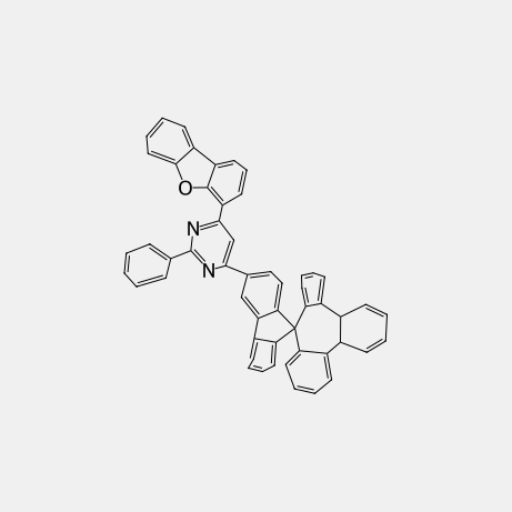 C1=CC2c3ccccc3C3(c4ccccc4-c4cc(-c5cc(-c6cccc7c6oc6ccccc67)nc(-c6ccccc6)n5)ccc43)c3ccccc3C2C=C1